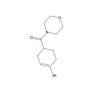 CC(C)C1=CCC(C(=O)N2CCOCC2)CC1